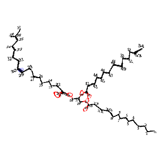 CCCCCCCCCCCCCC(=O)OCC(COC(=O)CCCCCCC/C=C\CCCCCC(C)C)OC(=O)CCCCCCCCCCCCC